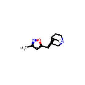 Cc1cc(/C=C2/CN3CCC2CC3)on1